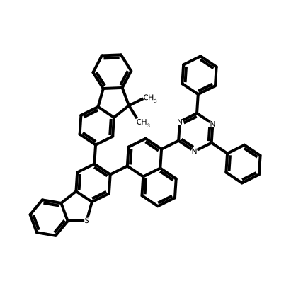 CC1(C)c2ccccc2-c2ccc(-c3cc4c(cc3-c3ccc(-c5nc(-c6ccccc6)nc(-c6ccccc6)n5)c5ccccc35)sc3ccccc34)cc21